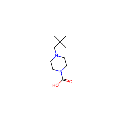 CC(C)(C)CN1CCN(C(=O)O)CC1